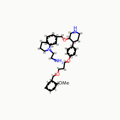 COc1ccccc1COCCCOc1ccc(C2CCNCC2OCc2ccc3c(c2)N(CCN)CCC3)cc1